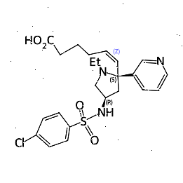 CCN1C[C@H](NS(=O)(=O)c2ccc(Cl)cc2)C[C@]1(/C=C\CCCC(=O)O)c1cccnc1